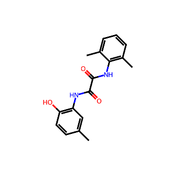 Cc1ccc(O)c(NC(=O)C(=O)Nc2c(C)cccc2C)c1